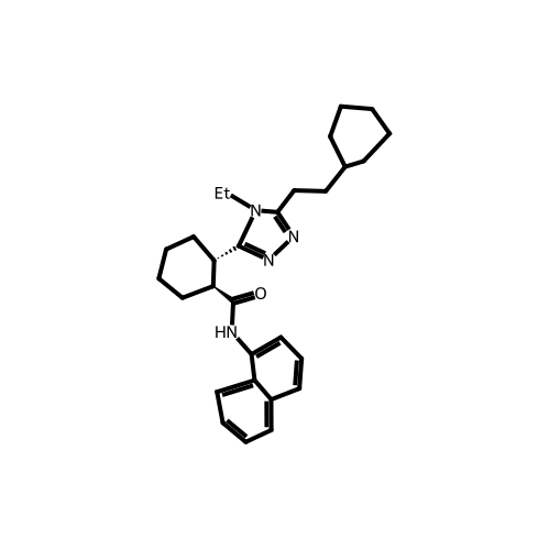 CCn1c(CCC2CCCCC2)nnc1[C@H]1CCCC[C@@H]1C(=O)Nc1cccc2ccccc12